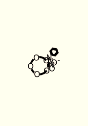 O=[N+]([O-])C1(N=Nc2ccccc2)COCCOCCOCCOCCO1